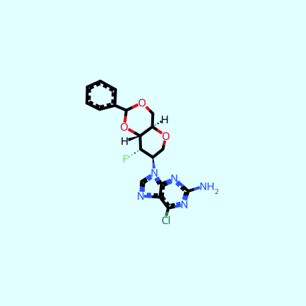 Nc1nc(Cl)c2ncn([C@@H]3CO[C@@H]4COC(c5ccccc5)O[C@H]4[C@H]3F)c2n1